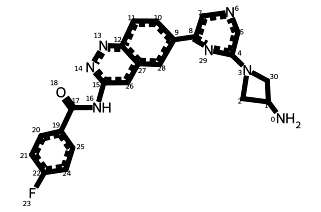 NC1CN(c2cncc(-c3ccc4nnc(NC(=O)c5ccc(F)cc5)cc4c3)n2)C1